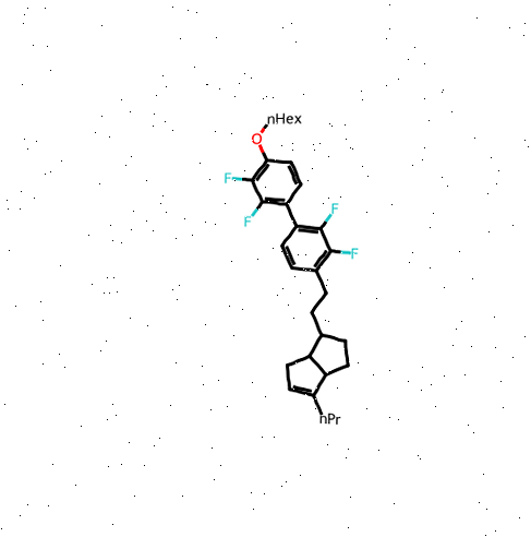 CCCCCCOc1ccc(-c2ccc(CCC3CCC4C(CCC)=CCC34)c(F)c2F)c(F)c1F